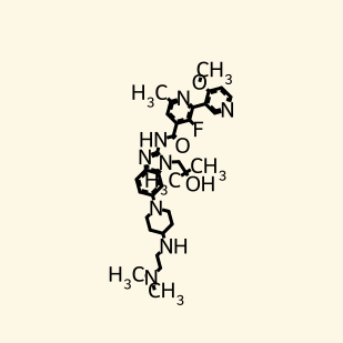 COc1ccncc1-c1nc(C)cc(C(=O)Nc2nc3ccc(N4CCC(NCCN(C)C)CC4)cc3n2CC(C)(C)O)c1F